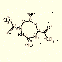 O=NC1CC(C(=O)C(Cl)(Cl)Cl)NN(N=O)NN(C(=O)C(Cl)(Cl)Cl)C1